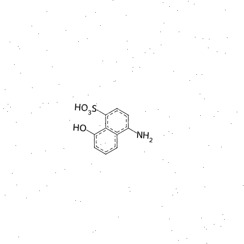 Nc1ccc(S(=O)(=O)O)c2c(O)cccc12